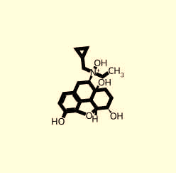 CC[N+](O)(CC1CC1)[C@@H]1Cc2ccc(O)c3c2C2[C@@H](O3)[C@@H](O)CC[C@]21O